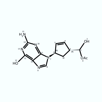 CC(=O)OC(O)[C@H]1C=C[C@H](n2cnc3c(O)nc(N)nc32)C1